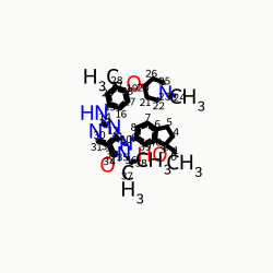 CC[C@@]1(O)CCc2ccc(-n3c4nc(Nc5ccc(OC6CCN(C)CC6)c(C)c5)ncc4c(=O)n3C(C)C)cc21